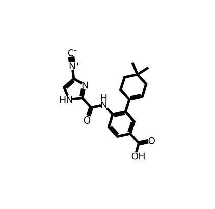 [C-]#[N+]c1c[nH]c(C(=O)Nc2ccc(C(=O)O)cc2C2=CCC(C)(C)CC2)n1